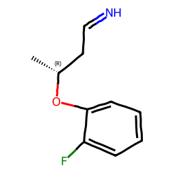 C[C@H](CC=N)Oc1ccccc1F